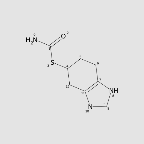 NC(=O)SC1CCc2[nH]cnc2C1